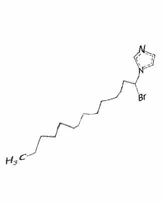 CCCCCCCCCCCC(Br)n1ccnc1